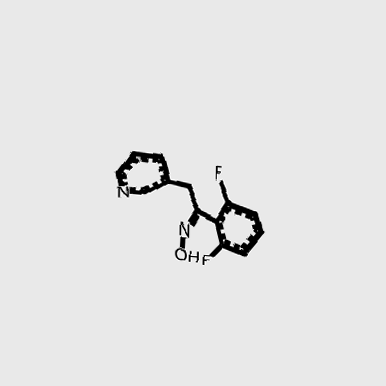 ON=C(Cc1cccnc1)c1c(F)cccc1F